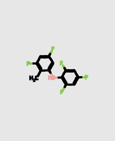 Cc1c(F)cc(F)cc1Bc1c(F)cc(F)cc1F